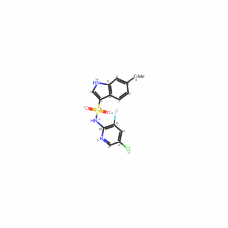 COc1ccc2c(S(=O)(=O)Nc3ncc(Cl)cc3F)c[nH]c2c1